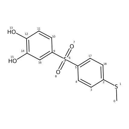 CSc1ccc(S(=O)(=O)c2ccc(O)c(O)c2)cc1